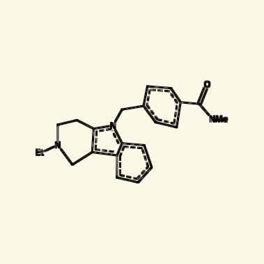 CCN1CCc2c(c3ccccc3n2Cc2ccc(C(=O)NC)cc2)C1